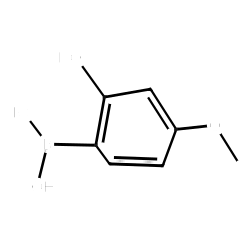 COc1ccc(B(O)O)c(O)c1